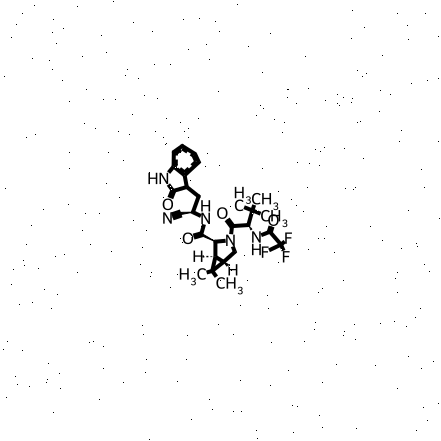 CC(C)(C)[C@H](NC(=O)C(F)(F)F)C(=O)N1C[C@H]2[C@H]([C@H]1C(=O)N[C@@H](C#N)CC1C(=O)Nc3ccccc31)C2(C)C